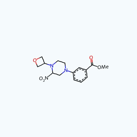 COC(=O)c1cccc(N2CCN(C3COC3)C([N+](=O)[O-])C2)c1